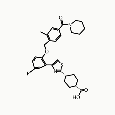 Cc1cc(C(=O)N2CCCCC2)ccc1COc1ccc(F)cc1-c1csc([C@H]2CC[C@@H](C(=O)O)CC2)n1